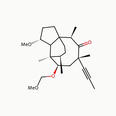 CC#C[C@]1(C)C[C@@H](OCOC)[C@@]2(C)C3[C@H](OC)CCC3(CC[C@H]2C)[C@@H](C)C1=O